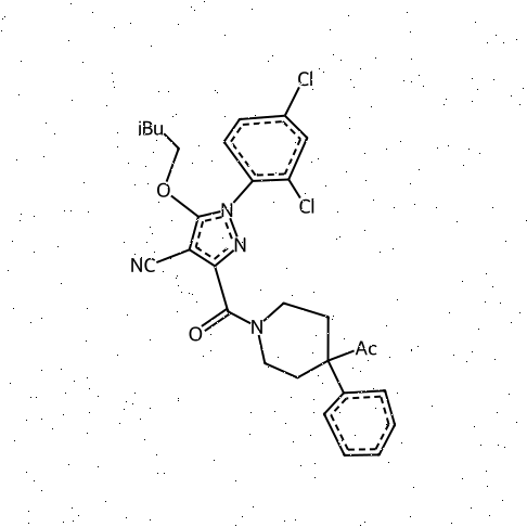 CCC(C)COc1c(C#N)c(C(=O)N2CCC(C(C)=O)(c3ccccc3)CC2)nn1-c1ccc(Cl)cc1Cl